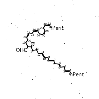 CCCCCC=CCC=CCC=CCC=CCCCC(=O)C([C]=O)CC/C=C\C/C=C\C/C=C\C/C=C\CCCCC